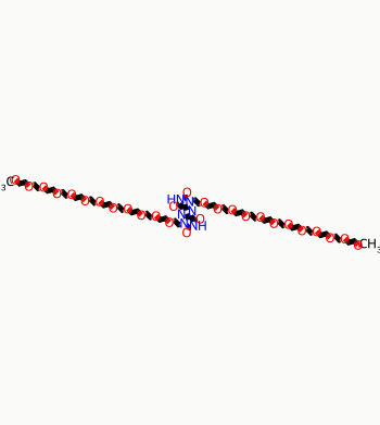 COCCOCCOCCOCCOCCOCCOCCOCCOCCOCCOCCOCCn1c(=O)[nH]c(=O)c2nc3c(nc21)c(=O)[nH]c(=O)n3CCOCCOCCOCCOCCOCCOCCOCCOCCOCCOCCOCCOC